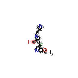 COc1ccc2nccc([C@H](F)CC[C@@H]3CCN(CC#Cc4ccncc4)C[C@@H]3CO)c2c1